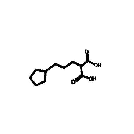 O=C(O)C(CCCC1CCCC1)C(=O)O